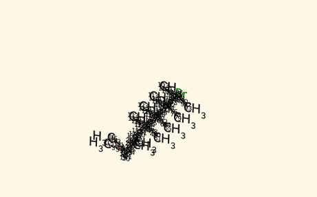 CCCCCCCCC1(CCCCCCCC)c2ccccc2-c2ccc(-c3ccc4c(c3)C(C)(C)c3cc(-c5ccc(-c6cc(CCCCCC)c(-c7ccc(-c8cc(CCCCCC)c(-c9ccc(-c%10cc(CCCCCC)c(-c%11ccc(-c%12cc(CCCCCC)c(Br)cc%12CCCCCC)cc%11)cc%10CCCCCC)cc9)cc8CCCCCC)cc7)cc6CCCCCC)cc5)ccc3-4)cc21